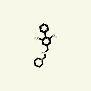 FC(F)(F)c1cc(CNCN2CCCCC2)cc(C(F)(F)F)c1-c1ccccc1